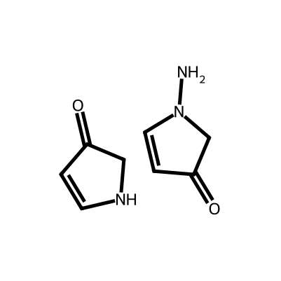 NN1C=CC(=O)C1.O=C1C=CNC1